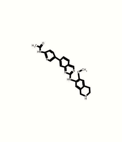 COc1cc2c(cc1Nc1ncc3ccc(-c4ccc(NC(C)=O)nc4)cc3n1)CNCC2